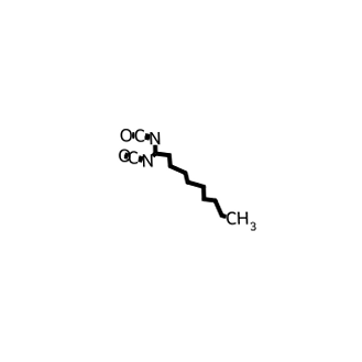 CCCCCCCCCC(N=C=O)N=C=O